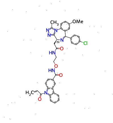 C=CC(=O)n1c2ccccc2c2cc(C(=O)NOCCNC(=O)C[C@@H]3N=C(c4ccc(Cl)cc4)c4cc(OC)ccc4-n4c(C)nnc43)ccc21